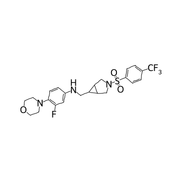 O=S(=O)(c1ccc(C(F)(F)F)cc1)N1CC2C(CNc3ccc(N4CCOCC4)c(F)c3)C2C1